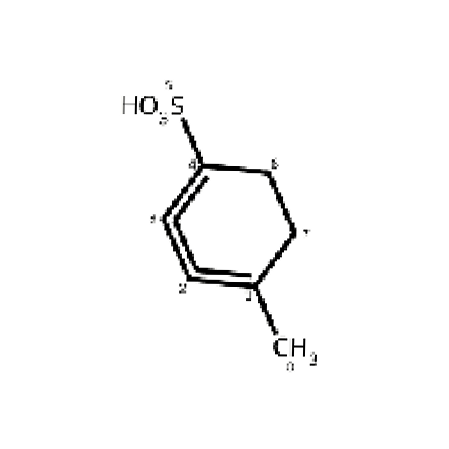 CC1=C=C=C(S(=O)(=O)O)CC1